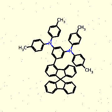 Cc1ccc(N(c2ccc(C)cc2)c2cc(-c3cccc4c3-c3ccccc3C43c4ccccc4-c4ccccc43)cc(N(c3ccc(C)cc3)c3ccc(C)cc3)c2)cc1